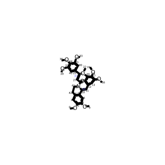 COc1cc2c(cc1OC)/C(=C/c1cc(OC)c(OC)c(OC)c1)N(C(=O)/C=C/c1cc(OC)c(OC)c(OC)c1)CC2